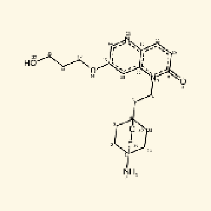 NC12CCC(CCn3c(=O)ccc4ncc(OCCCO)cc43)(CC1)OC2